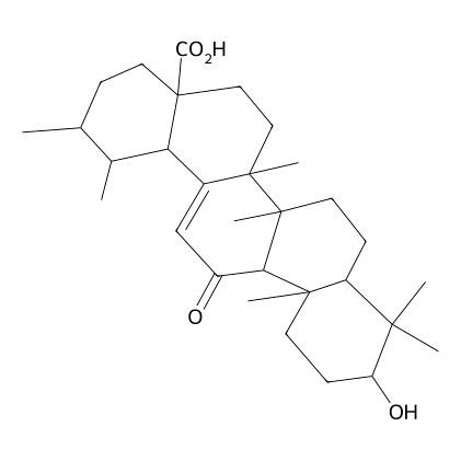 CC1CCC2(C(=O)O)CCC3(C)C(=CC(=O)C4C5(C)CCC(O)C(C)(C)C5CCC43C)C2C1C